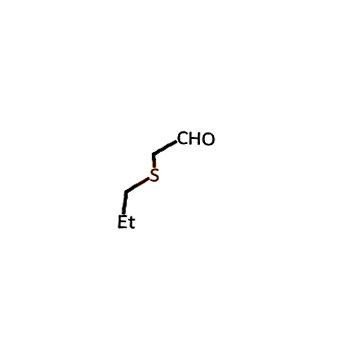 [CH2]CCSCC=O